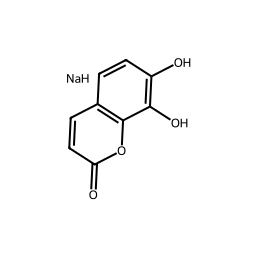 O=c1ccc2ccc(O)c(O)c2o1.[NaH]